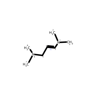 CN(C)/C=C/CN(C)C